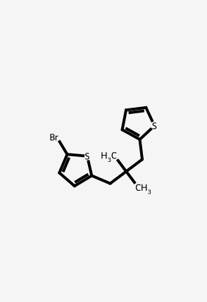 CC(C)(Cc1cccs1)Cc1ccc(Br)s1